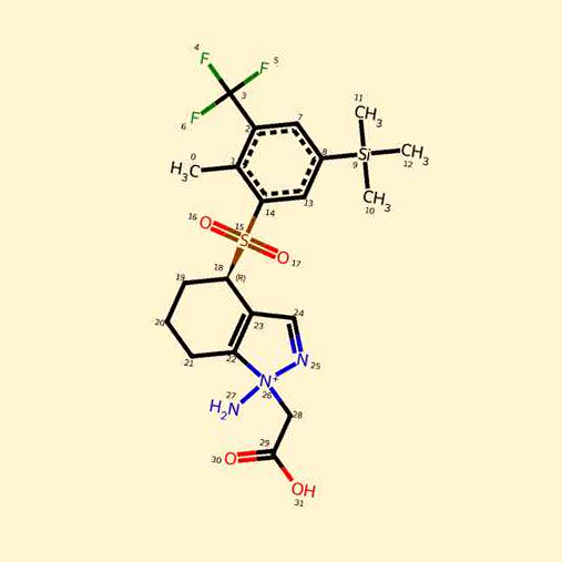 Cc1c(C(F)(F)F)cc([Si](C)(C)C)cc1S(=O)(=O)[C@@H]1CCCC2=C1C=N[N+]2(N)CC(=O)O